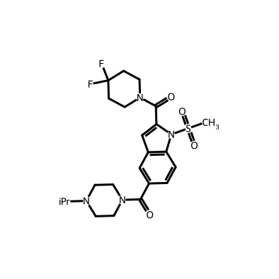 CC(C)N1CCN(C(=O)c2ccc3c(c2)cc(C(=O)N2CCC(F)(F)CC2)n3S(C)(=O)=O)CC1